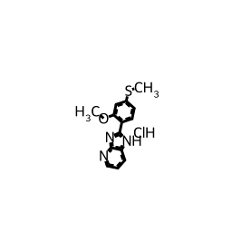 COc1cc(SC)ccc1-c1nc2ncccc2[nH]1.Cl